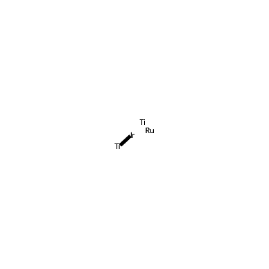 [Ru].[Ti].[Ti][Ir]